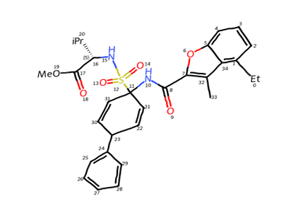 CCc1cccc2oc(C(=O)NC3(S(=O)(=O)N[C@H](C(=O)OC)C(C)C)C=CC(c4ccccc4)C=C3)c(C)c12